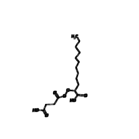 CCCCCCCCCCC(OOC(=O)CCC(=O)O)C(=O)O